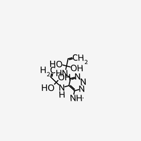 C=CC(O)(O)Nc1nnnc([NH])c1NC(O)(O)C=C